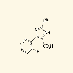 CC(C)(C)c1nc(-c2ccccc2F)c(C(=O)O)[nH]1